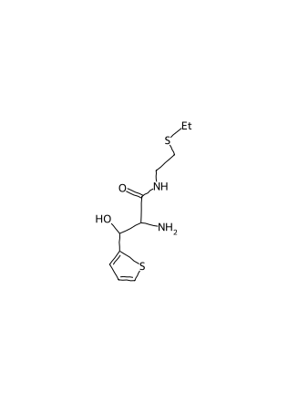 CCSCCNC(=O)C(N)C(O)c1cccs1